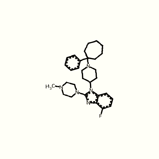 CN1CCN(c2nc3c(F)cccc3n2C2CCN(C3(c4ccccc4)CCCCCC3)CC2)CC1